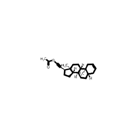 CC(=O)OC#C[C@@H]1CC[C@H]2[C@@H]3CC[C@H]4CC=CC[C@]4(C)[C@H]3CC[C@]12C